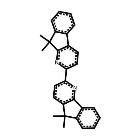 CC1(C)c2ccccc2-c2nc(-c3ccc4c(n3)C(C)(C)c3ccccc3-4)ccc21